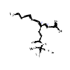 CCCCC/C=C(/C=C/C(=O)O)CCC(=O)NC(C)(C)C